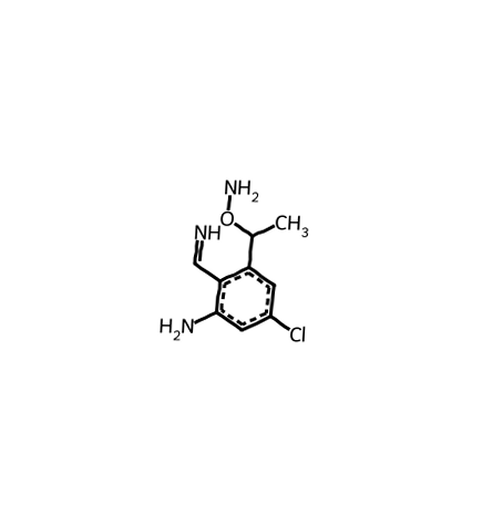 CC(ON)c1cc(Cl)cc(N)c1C=N